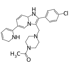 CC(=O)N1CCN(CC2=C(c3ccc(Cl)cc3)NC3C=CC(C4=CC=CCN4)=CN23)CC1